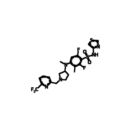 Cc1c(N(C)C2CCN(Cc3cccc(C(F)(F)F)n3)C2)cc(F)c(S(=O)(=O)Nc2cscn2)c1F